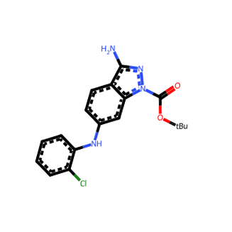 CC(C)(C)OC(=O)n1nc(N)c2ccc(Nc3ccccc3Cl)cc21